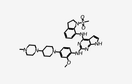 COc1cc(N2CCC(N3CCN(C)CC3)CC2)ccc1Nc1nc(Nc2cccc3c2N(S(C)(=O)=O)CC3)c2cc[nH]c2n1